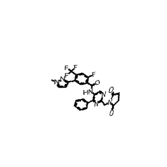 Cn1ccc(-c2cc(C(=O)Nc3cnc(CN4C(=O)CCC4=O)nc3-c3ccccc3)c(F)cc2C(F)(F)F)n1